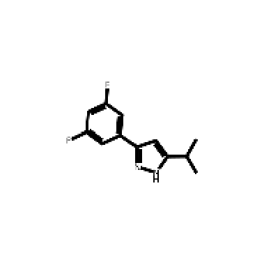 CC(C)c1cc(-c2cc(F)cc(F)c2)n[nH]1